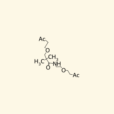 CC(=O)CCOCCNC(=O)C(C)(C)COCCC(C)=O